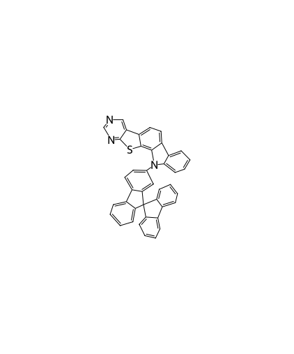 c1ccc2c(c1)-c1ccccc1C21c2ccccc2-c2ccc(-n3c4ccccc4c4ccc5c6cncnc6sc5c43)cc21